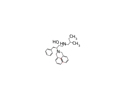 CCC(C)CNC[C@@H](O)[C@H](Cc1ccccc1)N(Cc1ccccc1)Cc1ccccc1